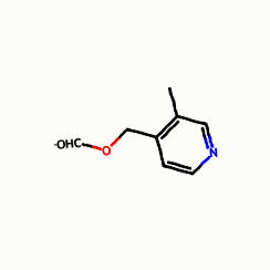 Cc1cnccc1CO[C]=O